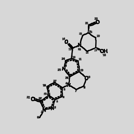 Cn1nc2cc(N3CCOc4cc(C(=O)N5C[C@H](O)C[C@H](C=O)C5)cnc43)ccn2c1=O